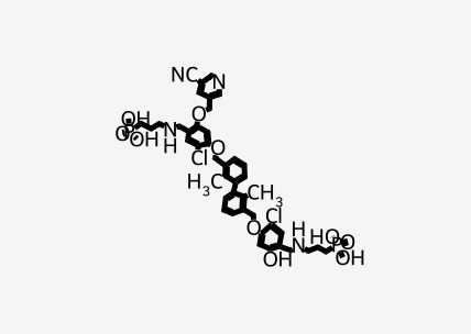 Cc1c(COc2cc(O)c(CNCCCP(=O)(O)O)cc2Cl)cccc1-c1cccc(COc2cc(OCc3cncc(C#N)c3)c(CNCCCP(=O)(O)O)cc2Cl)c1C